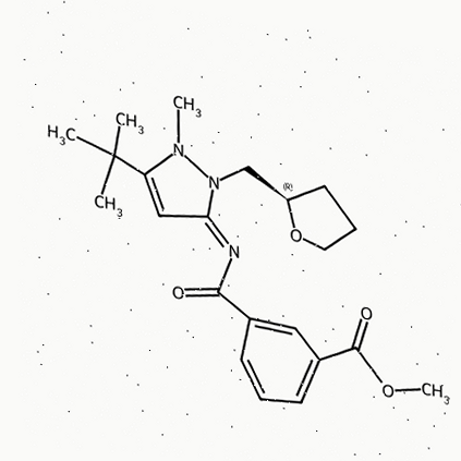 COC(=O)c1cccc(C(=O)N=c2cc(C(C)(C)C)n(C)n2C[C@H]2CCCO2)c1